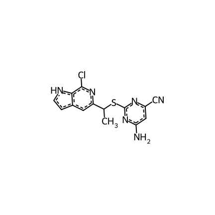 CC(Sc1nc(N)cc(C#N)n1)c1cc2cc[nH]c2c(Cl)n1